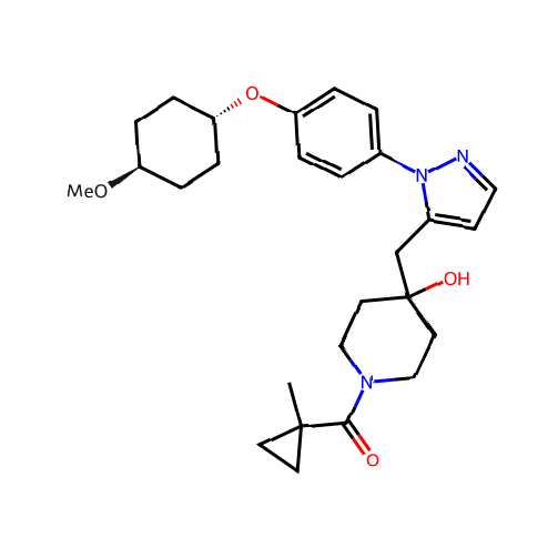 CO[C@H]1CC[C@H](Oc2ccc(-n3nccc3CC3(O)CCN(C(=O)C4(C)CC4)CC3)cc2)CC1